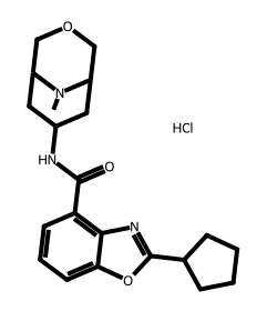 CN1C2COCC1CC(NC(=O)c1cccc3oc(C4CCCC4)nc13)C2.Cl